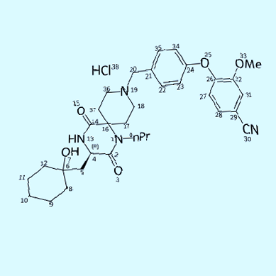 CCCN1C(=O)[C@@H](CC2(O)CCCCC2)NC(=O)C12CCN(Cc1ccc(Oc3ccc(C#N)cc3OC)cc1)CC2.Cl